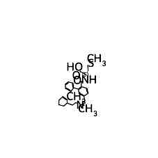 CSCC[C@H](NC(=O)c1ccc(CN(C)CCC2C=CCCC2)cc1-c1ccccc1C)C(=O)O